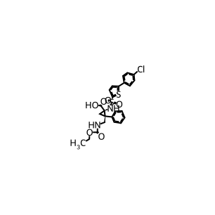 CCOC(=O)NC[C@@]1(c2ccccc2)C[C@]1(NS(=O)(=O)c1ccc(-c2ccc(Cl)cc2)s1)C(=O)O